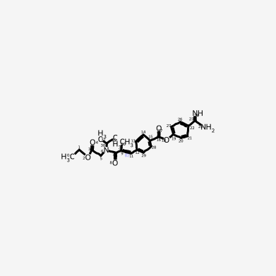 CCOC(=O)CN(C(=O)/C(C)=C/c1ccc(C(=O)Oc2ccc(C(=N)N)cc2)cc1)C(C)C